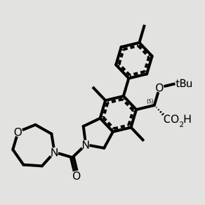 Cc1ccc(-c2c(C)c3c(c(C)c2[C@H](OC(C)(C)C)C(=O)O)CN(C(=O)N2CCCOCC2)C3)cc1